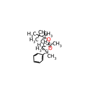 CC(C)(C)[Si](C)(C)O[Si](C)(C)O[Si](C)(C)c1ccccc1